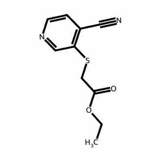 CCOC(=O)CSc1cnccc1C#N